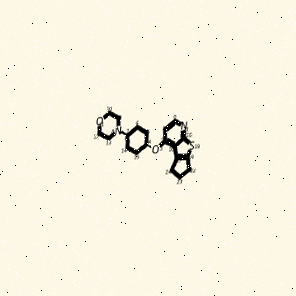 c1cc(O[C@H]2CC[C@H](N3CCOCC3)CC2)c2c3c(sc2n1)CCC3